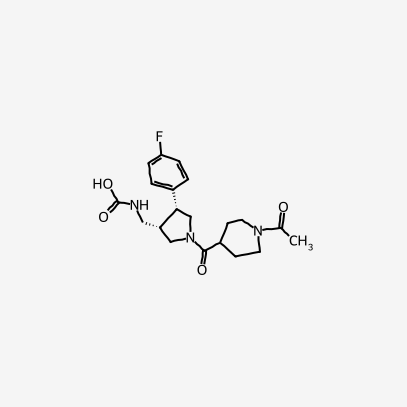 CC(=O)N1CCC(C(=O)N2C[C@H](CNC(=O)O)[C@H](c3ccc(F)cc3)C2)CC1